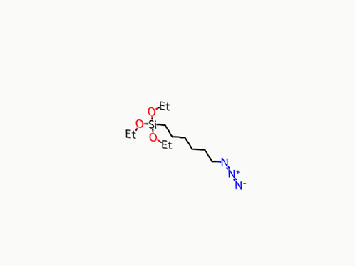 CCO[Si](CCCCCCN=[N+]=[N-])(OCC)OCC